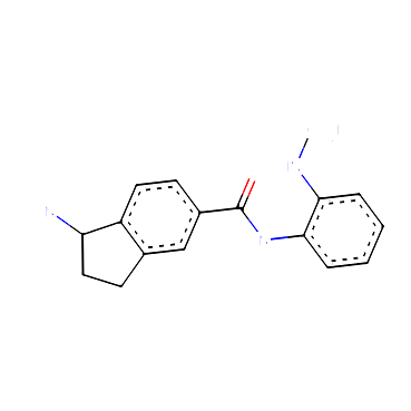 NC1CCc2cc(C(=O)Nc3ccccc3NC(=O)O)ccc21